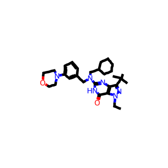 CCn1nc(C(C)(C)C)c2nc(N(Cc3cccc(N4CCOCC4)c3)CC3CCCCC3)[nH]c(=O)c21